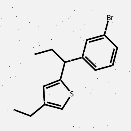 CCc1csc(C(CC)c2cccc(Br)c2)c1